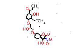 CCCc1c(OCC(O)COc2ccc3c(O)c([N+](=O)[O-])c(=O)oc3c2)ccc(C(=O)CC)c1O